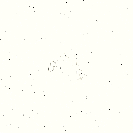 CC(O[C@H]1CC[C@H](Nc2ccc([N+](=O)[O-])c(C(F)(F)F)c2)CC1)C(=O)N1CCN(c2ccc3cc(F)ccc3n2)CC1